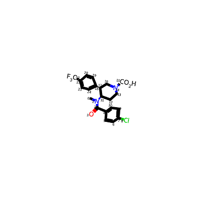 CN(C(=O)c1ccc(Cl)cc1)[C@@H]1CCN(C(=O)O)C[C@H]1c1ccc(C(F)(F)F)cc1